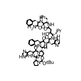 CC(C)C[C@H](NC(=O)C[C@H](O)[C@H](CC(C)C)NC(=O)[C@H](Cc1c[nH]cn1)NC(=O)[C@H](Cc1ccccc1)NC(=O)[C@@H]1CCCN1C(=O)[C@H](Cc1c[nH]cn1)NC(=O)[C@@H]1CCCN1C(=O)OC(C)(C)C)C(=O)N[C@@H](Cc1ccccc1)C(N)=O